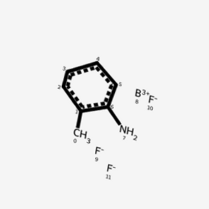 Cc1ccccc1N.[B+3].[F-].[F-].[F-]